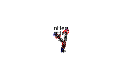 CCCCCC/C=C\COC(=O)CCCCCCCCCC(CCCCCCCC(=O)OC/C=C\CCCCCC)OCOCCCN1CCCC1